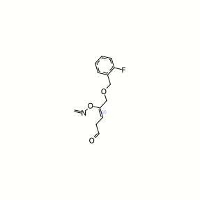 C=NO/C(=C\CC=O)COCc1ccccc1F